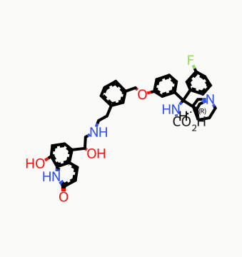 O=C(O)NC(c1cccc(F)c1)(c1cccc(OCc2cccc(CCNCC(O)c3ccc(O)c4[nH]c(=O)ccc34)c2)c1)[C@H]1CN2CCC1CC2